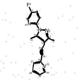 Cc1nn(-c2ccc(F)cn2)c(C)c1C#Cc1ccccn1